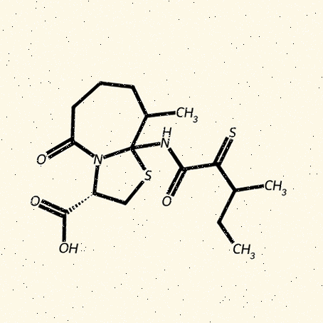 CCC(C)C(=S)C(=O)NC12SC[C@H](C(=O)O)N1C(=O)CCCC2C